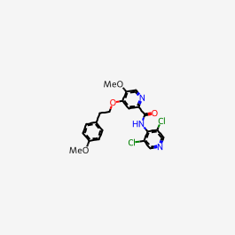 COc1ccc(CCOc2cc(C(=O)Nc3c(Cl)cncc3Cl)ncc2OC)cc1